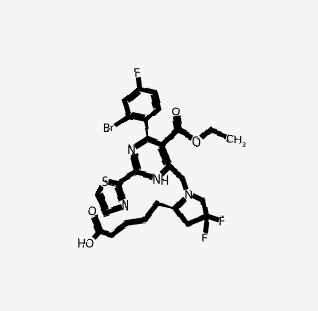 CCOC(=O)C1=C(CN2CC(F)(F)C[C@H]2CCCCC(=O)O)NC(c2nccs2)=N[C@H]1c1ccc(F)cc1Br